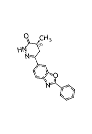 C[C@H]1CC(c2ccc3nc(-c4ccccc4)oc3c2)=NNC1=O